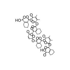 C/C(C(=O)OC(=O)C1=C(C(=O)O)CCCC1)=C(\C)C(=O)OC(=O)C1=C(C(=O)OC(=O)/C=C\C(=O)OC(=O)C2=C(C(=O)OC(=O)/C(C)=C(/C)C(=O)OC(=O)C3=C(C(=O)O)CCCC3)CCCC2)CCCC1